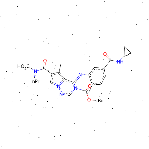 CCCN(C(=O)O)C(=O)c1cn2ncn(C(=O)OC(C)(C)C)/c(=N\c3cc(C(=O)NC4CC4)ccc3C)c2c1C